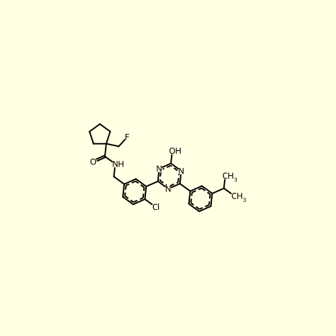 CC(C)c1cccc(-c2nc(O)nc(-c3cc(CNC(=O)C4(CF)CCCC4)ccc3Cl)n2)c1